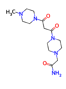 CN1CCN(C(=O)CC(=O)N2CCN(CC(N)=O)CC2)CC1